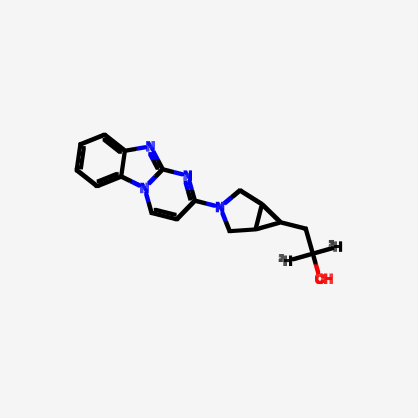 [2H]C([2H])(O)CC1C2CN(c3ccn4c(n3)nc3ccccc34)CC21